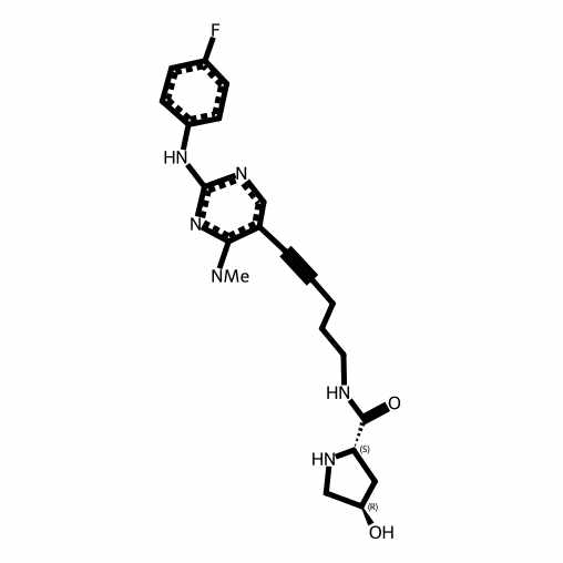 CNc1nc(Nc2ccc(F)cc2)ncc1C#CCCCNC(=O)[C@@H]1C[C@@H](O)CN1